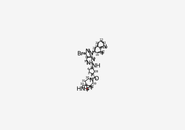 O=C([C@@H]1CC[C@@H](Nc2ncc3c(Br)nn(-c4cc(F)c5ncccc5c4)c3n2)C1)N1CCC2(CNC2)C(F)(F)C1